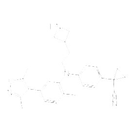 Cc1ccc(-c2c(C)noc2C)cc1N(CCC1CNC1)c1ccc(C2(C#N)CC2)cc1